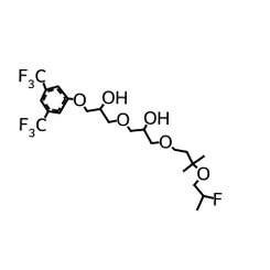 CC(F)COC(C)(C)CCOCC(O)COCC(O)COc1cc(C(F)(F)F)cc(C(F)(F)F)c1